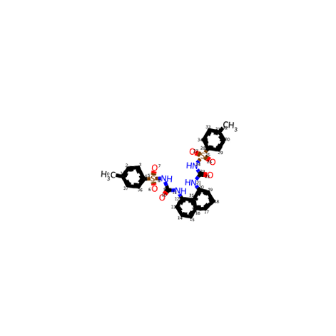 Cc1ccc(S(=O)(=O)NC(=O)Nc2cccc3cccc(NC(=O)NS(=O)(=O)c4ccc(C)cc4)c23)cc1